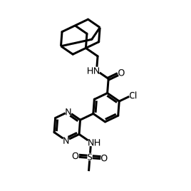 CS(=O)(=O)Nc1nccnc1-c1ccc(Cl)c(C(=O)NCC23CC4CC(CC(C4)C2)C3)c1